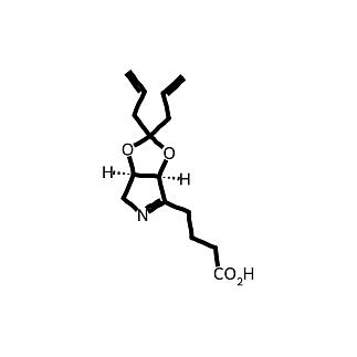 C=CCC1(CC=C)O[C@@H]2CN=C(CCCC(=O)O)[C@@H]2O1